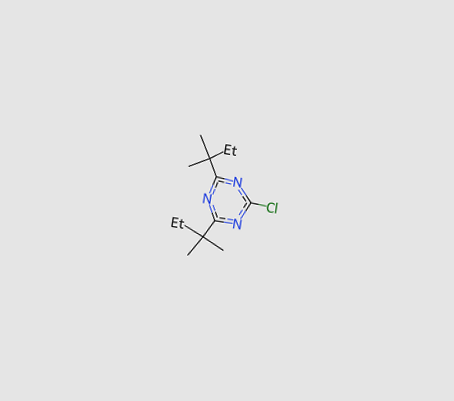 CCC(C)(C)c1nc(Cl)nc(C(C)(C)CC)n1